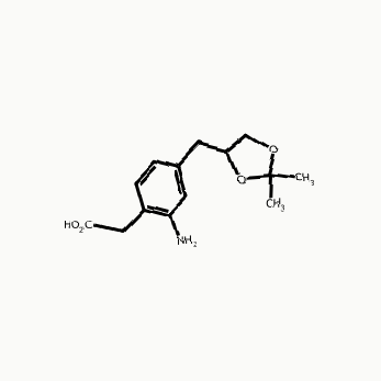 CC1(C)OCC(Cc2ccc(CC(=O)O)c(N)c2)O1